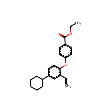 C=Cc1cc(C2CCCCC2)ccc1Oc1ccc(C(=O)OCC)cc1